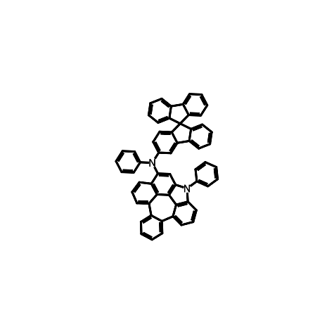 c1ccc(N(c2ccc3c(c2)-c2ccccc2C32c3ccccc3-c3ccccc32)c2cc3c4c5c(cccc25)-c2ccccc2-c2cccc(c24)n3-c2ccccc2)cc1